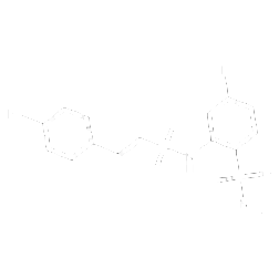 NS(=O)(=O)c1ccc(F)cc1NS(=O)(=O)/C=C/c1ccc(Br)cc1